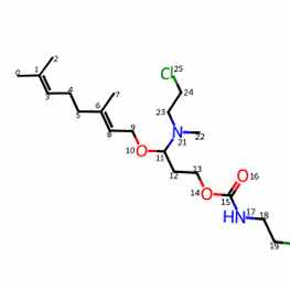 CC(C)=CCC/C(C)=C/COC(CCOC(=O)NCCCl)N(C)CCCl